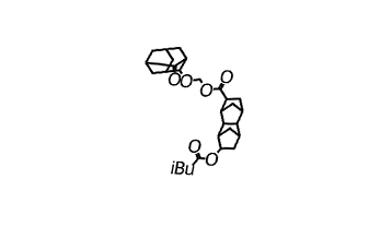 CCC(C)C(=O)OC1CC2CC1C1C3CC(CC3C(=O)OCOC3C4CC5CC(C4)C(=O)C3C5)C21